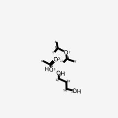 CC(=O)O.CC(C)OC(C)C.OCCCO